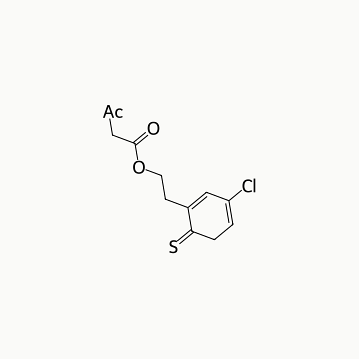 CC(=O)CC(=O)OCCC1=CC(Cl)=CCC1=S